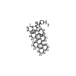 Cc1cc2c(s1)-c1ccccc1C21c2ccccc2-c2c(-c3c4ccccc4c(-c4cccc5ccccc45)c4ccccc34)cccc21